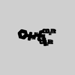 CCOC(=O)CC(CC(=O)OCC)(N=C=S)/N=N/C(C)(C)c1ccccc1